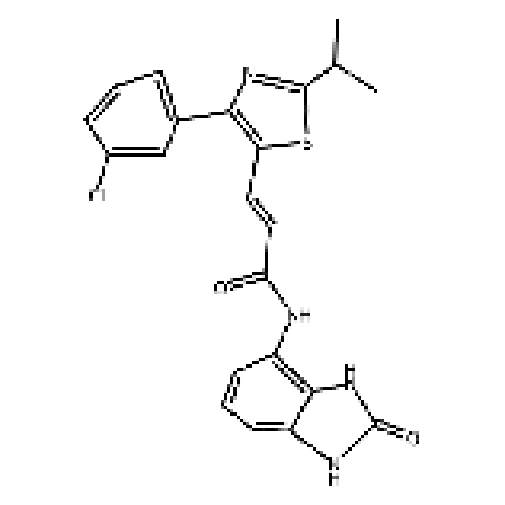 CC(C)c1nc(-c2cccc(Cl)c2)c(/C=C/C(=O)Nc2cccc3[nH]c(=O)[nH]c23)s1